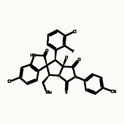 CC(C)(C)C[C@@H]1N2C(=S)N(c3ccc(C#N)cc3)C(=O)[C@H]2[C@H](c2cccc(Cl)c2F)[C@]12C(=O)Nc1cc(Cl)ccc12